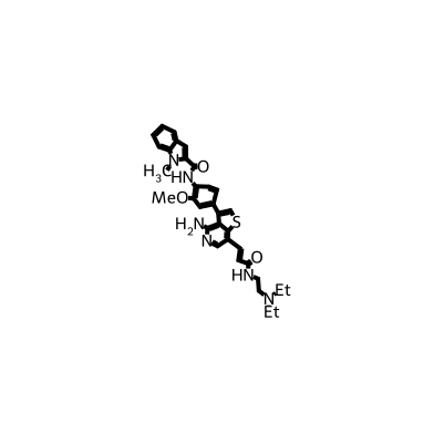 CCN(CC)CCNC(=O)/C=C/c1cnc(N)c2c(-c3ccc(NC(=O)c4cc5ccccc5n4C)c(OC)c3)csc12